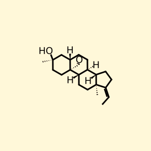 C/C=C1/CC[C@H]2[C@@H]3CC[C@H]4C[C@](C)(O)CC[C@]4(C=O)[C@H]3CC[C@]12C